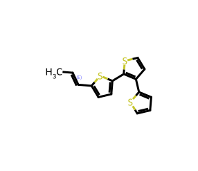 C/C=C/c1ccc(-c2sccc2-c2cccs2)s1